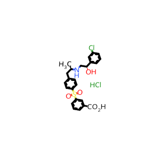 C[C@H](Cc1ccc(S(=O)(=O)c2cccc(C(=O)O)c2)cc1)NC[C@@H](O)c1cccc(Cl)c1.Cl